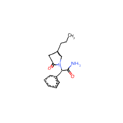 CCCC1CC(=O)N(C(C(N)=O)c2ccccc2)C1